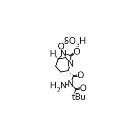 CC(C)(C)C(=O)N(N)C(=O)[C@@H]1CC[C@@H]2CN1C(=O)N2OS(=O)(=O)O